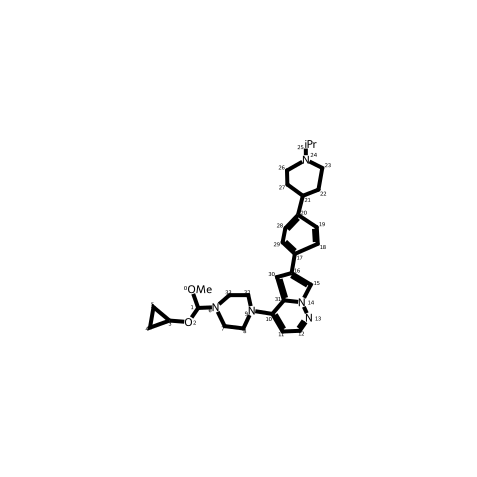 COC(OC1CC1)N1CCN(c2ccnn3cc(-c4ccc(C5CCN(C(C)C)CC5)cc4)cc23)CC1